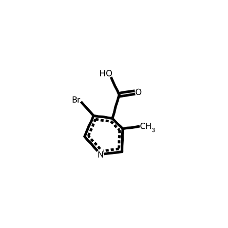 Cc1cncc(Br)c1C(=O)O